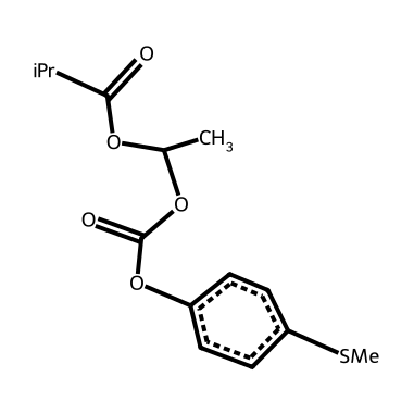 CSc1ccc(OC(=O)OC(C)OC(=O)C(C)C)cc1